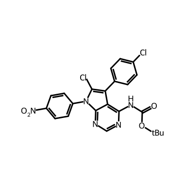 CC(C)(C)OC(=O)Nc1ncnc2c1c(-c1ccc(Cl)cc1)c(Cl)n2-c1ccc([N+](=O)[O-])cc1